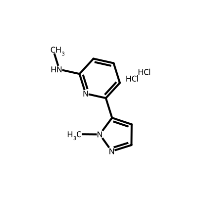 CNc1cccc(-c2ccnn2C)n1.Cl.Cl